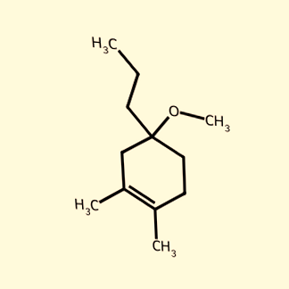 CCCC1(OC)CCC(C)=C(C)C1